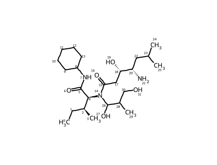 CC[C@H](C)[C@@H](C(=O)NC1CCCCC1)N(C(=O)C[C@H](O)[C@@H](N)CC(C)C)C(O)C(C)CO